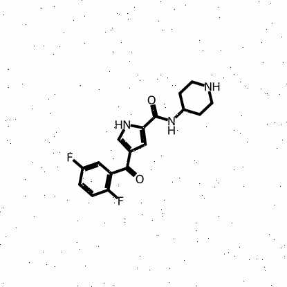 O=C(NC1CCNCC1)c1cc(C(=O)c2cc(F)ccc2F)c[nH]1